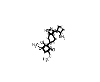 COc1cc(OC)c(Cl)c(C2CCc3c(C4COCC4N)n[nH]c3C2)c1Cl